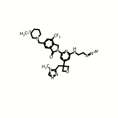 C[C@@H]1CCCN(Cc2cc3c(c(C(F)(F)F)c2)CN(c2cc(C4(Cc5nncn5C)COC4)cc(NCCN=[N+]=[N-])n2)C3=O)C1